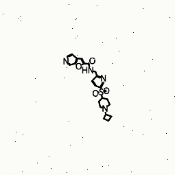 O=C(NCc1ccc(S(=O)(=O)C2CCN(C3CCC3)CC2)cn1)c1cc2ccncc2o1